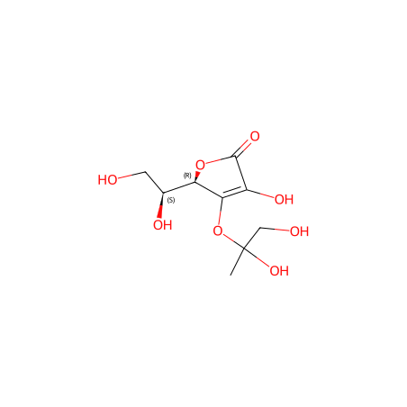 CC(O)(CO)OC1=C(O)C(=O)O[C@@H]1[C@@H](O)CO